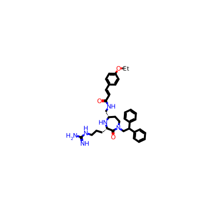 CCOc1ccc(/C=C/C(=O)NC[C@@H]2CCN(CC(c3ccccc3)c3ccccc3)C(=O)[C@H](CCCNC(=N)N)N2)cc1